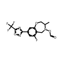 CC1COc2cc(-c3noc(C(F)(F)F)n3)cc(F)c2CN1OC=O